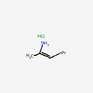 CCCC=C(C)N.Cl